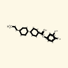 CCC[C@H]1CC[C@H](C2CCC(C(=O)Oc3ccc(F)c(F)c3)CC2)CC1